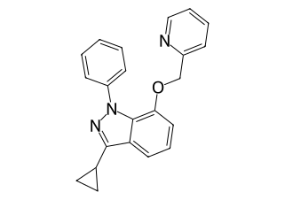 c1ccc(-n2nc(C3CC3)c3cccc(OCc4ccccn4)c32)cc1